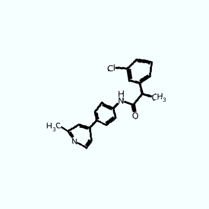 Cc1cc(-c2ccc(NC(=O)C(C)c3cccc(Cl)c3)cc2)ccn1